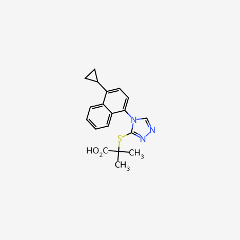 CC(C)(Sc1nncn1-c1ccc(C2CC2)c2ccccc12)C(=O)O